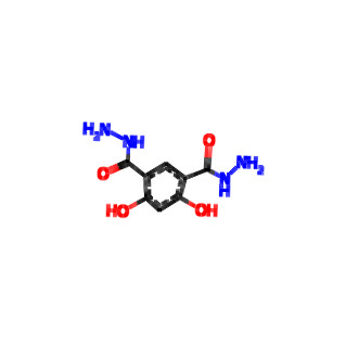 NNC(=O)c1cc(C(=O)NN)c(O)cc1O